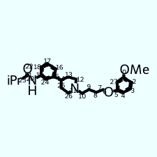 COc1cccc(OCCCCN2CCC(c3cccc(NC(=O)C(C)C)c3)CC2)c1